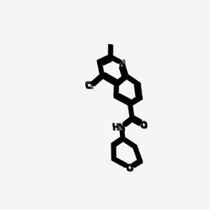 Cc1cc(Cl)c2cc(C(=O)NC3CCOCC3)ccc2n1